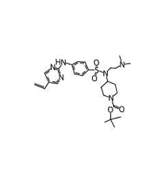 C=Cc1cnc(Nc2ccc(S(=O)(=O)N(CCN(C)C)C3CCN(C(=O)OC(C)(C)C)CC3)cc2)nc1